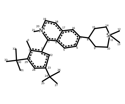 Cc1c(-c2c3ccc(C4CC[Si](C)(C)CC4)cc3cc[n+]2C)cc(C(C)(C)C)cc1C(C)(C)C